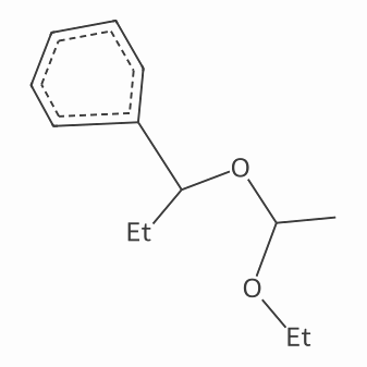 CCOC(C)OC(CC)c1ccccc1